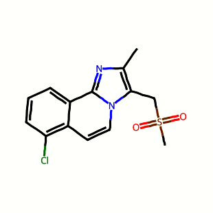 Cc1nc2c3cccc(Cl)c3ccn2c1CS(C)(=O)=O